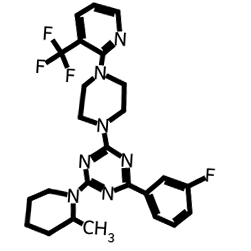 CC1CCCCN1c1nc(-c2cccc(F)c2)nc(N2CCN(c3ncccc3C(F)(F)F)CC2)n1